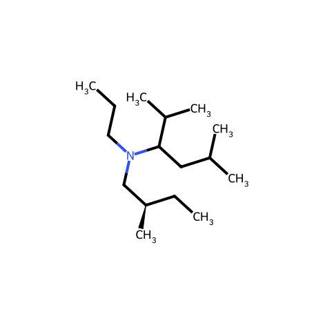 CCCN(C[C@H](C)CC)C(CC(C)C)C(C)C